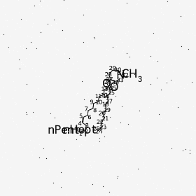 CCCCC/C=C\C/C=C\CCCCCCCCC1(CCCCCCCC/C=C\CCCCCCC)OC2CCCN(C)CC2O1